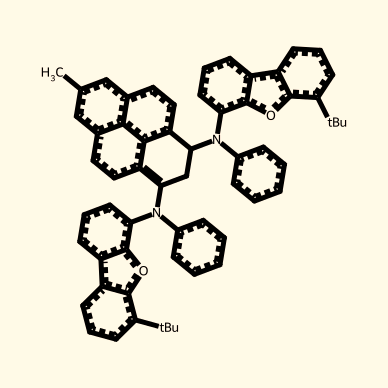 Cc1cc2ccc3c4c(ccc(c1)c24)=C(N(c1ccccc1)c1cccc2c1oc1c(C(C)(C)C)cccc12)CC3N(c1ccccc1)c1cccc2c1oc1c(C(C)(C)C)cccc12